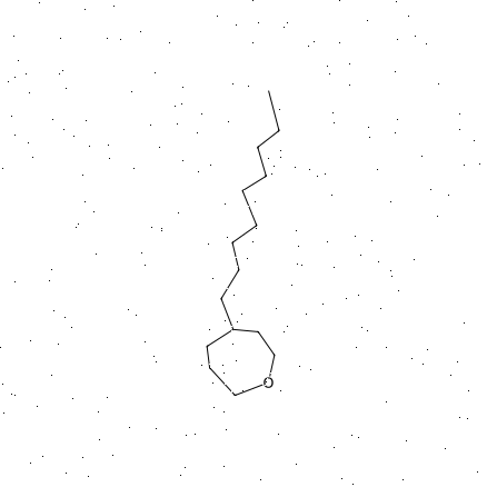 CCCCCCCCCC1CCCOCC1